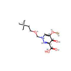 C[Si](C)(C)CCOCn1cc(OBr)c(=O)c(C(=O)O)n1